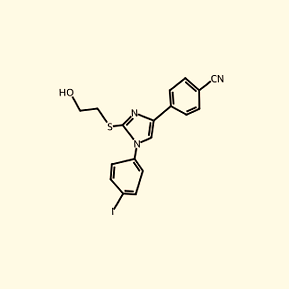 N#Cc1ccc(-c2cn(-c3ccc(I)cc3)c(SCCO)n2)cc1